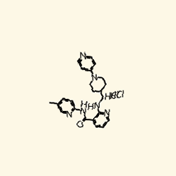 Cc1ccc(NC(=O)c2cccnc2NCC2CCN(c3ccncc3)CC2)nc1.Cl.Cl